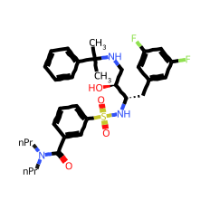 CCCN(CCC)C(=O)c1cccc(S(=O)(=O)N[C@@H](Cc2cc(F)cc(F)c2)[C@@H](O)CNC(C)(C)c2ccccc2)c1